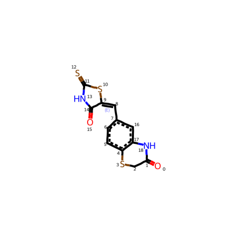 O=C1CSc2ccc(/C=C3/SC(=S)NC3=O)cc2N1